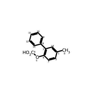 Cc1ccc(OC(=O)O)c(-c2ccccc2)c1